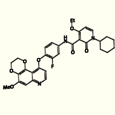 CCOc1ccn(C2CCCCC2)c(=O)c1C(=O)Nc1ccc(Oc2ccnc3cc(OC)c4c(c23)OCCO4)c(F)c1